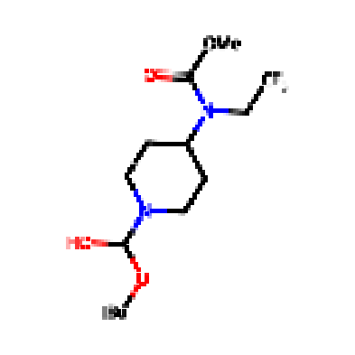 COC(=O)N(CC(F)(F)F)C1CCN(C(O)OC(C)(C)C)CC1